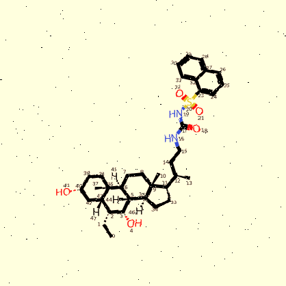 CC[C@H]1[C@@H](O)[C@@H]2[C@H](CC[C@]3(C)[C@@H]([C@H](C)CCNC(=O)NS(=O)(=O)c4cccc5ccccc45)CC[C@@H]23)[C@@]2(C)CC[C@@H](O)C[C@@H]12